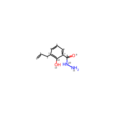 C=CCc1cccc(C(=O)NN)c1O